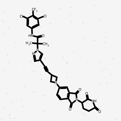 CC(C)(C(=O)Nc1cc(Cl)c(C(F)(F)F)c(Cl)c1)n1cc(C#CC2CN(c3ccc4c(c3)C(=O)N(C3CCC(=O)NC3=O)C4=O)C2)cn1